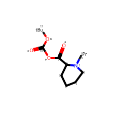 CC(C)N1CCCCC1C(=O)OC(=O)OC(C)(C)C